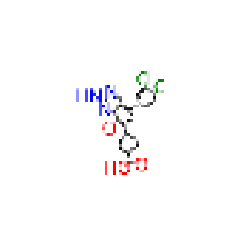 CNc1ncc2c(-c3ccc(Cl)c(Cl)c3)cc(-c3ccc(C(=O)O)cc3)c(OC)c2n1